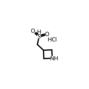 Cl.O=[SH](=O)CC1CNC1